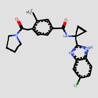 Cc1cc(C(=O)NC2(c3nc4cc(Cl)ccc4[nH]3)CC2)ccc1C(=O)N1CCCC1